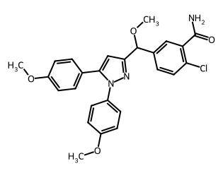 COc1ccc(-c2cc(C(OC)c3ccc(Cl)c(C(N)=O)c3)nn2-c2ccc(OC)cc2)cc1